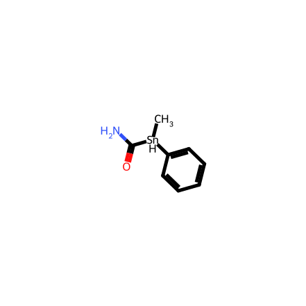 [CH3][SnH]([C](N)=O)[c]1ccccc1